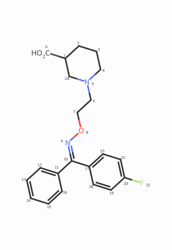 O=C(O)C1CCCN(CCON=C(c2ccccc2)c2ccc(F)cc2)C1